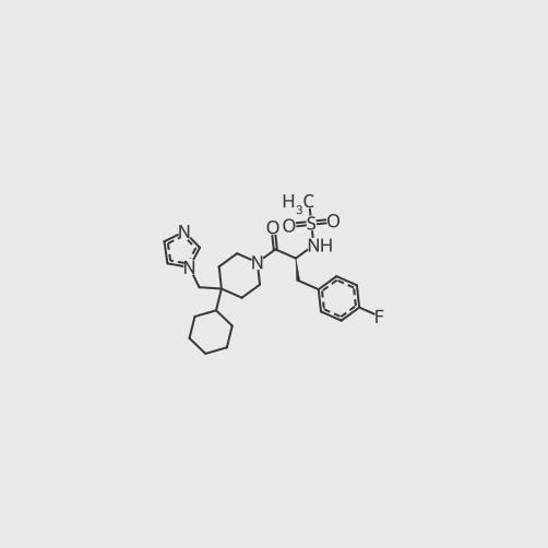 CS(=O)(=O)N[C@@H](Cc1ccc(F)cc1)C(=O)N1CCC(Cn2ccnc2)(C2CCCCC2)CC1